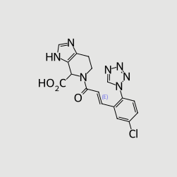 O=C(O)C1c2[nH]cnc2CCN1C(=O)/C=C/c1cc(Cl)ccc1-n1cnnn1